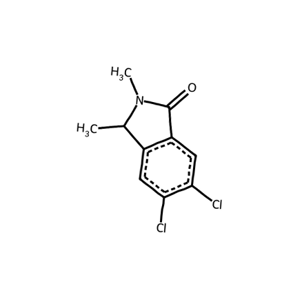 CC1c2cc(Cl)c(Cl)cc2C(=O)N1C